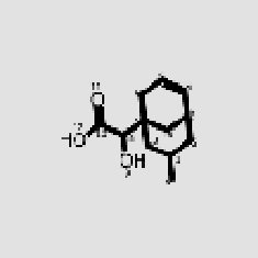 CC1CC2C=CCC(C(O)C(=O)O)(C1)C2